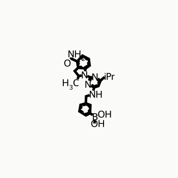 CC(C)c1cc(NCc2cccc(B(O)O)c2)nc(N2c3cccc(C(N)=O)c3CC2C)n1